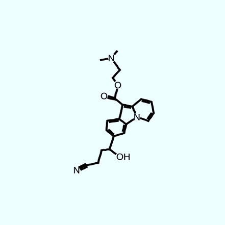 CN(C)CCOC(=O)c1c2ccc(C(O)CCC#N)cc2n2ccccc12